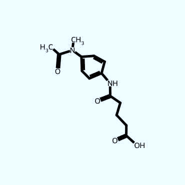 CC(=O)N(C)c1ccc(NC(=O)CCCC(=O)O)cc1